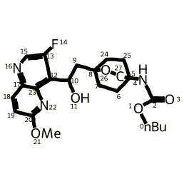 CCCCOC(=O)NC12CCC(CC(O)c3c(F)cnc4ccc(OC)nc34)(CC1)OC2